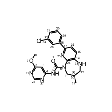 COc1cc(NC(=O)N2C[C@H](C)CNc3ccc(-c4cccc(Cl)c4)nc32)ncn1